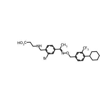 C/C(=N\OCc1ccc(C2CCCCC2)c(C(F)(F)F)c1)c1ccc(CNCCC(=O)O)c(Br)c1